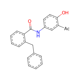 CC(=O)c1cc(NC(=O)c2ccccc2Cc2ccccc2)ccc1O